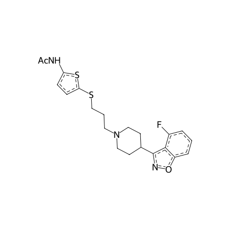 CC(=O)Nc1ccc(SCCCN2CCC(c3noc4cccc(F)c34)CC2)s1